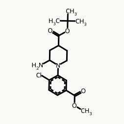 COC(=O)c1ccc(Cl)c(N2CCC(C(=O)OC(C)(C)C)CC2N)c1